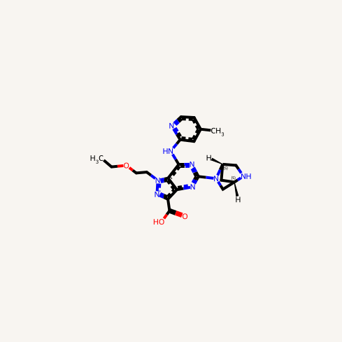 CCOCCn1nc(C(=O)O)c2nc(N3C[C@@H]4C[C@H]3CN4)nc(Nc3cc(C)ccn3)c21